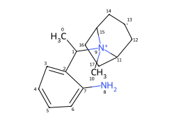 CC(c1ccccc1N)[N+]1(C)C2C[CH]CC1CC2